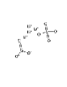 O=S(=O)([O-])[O-].O=[Si]([O-])[O-].[Li+].[Li+].[Li+].[Li+]